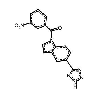 O=C(c1cccc([N+](=O)[O-])c1)n1ccc2cc(-c3nn[nH]n3)ccc21